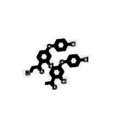 CC(=O)c1ccc(Oc2ccc(Cl)cc2)cc1Cl.O=C(CBr)c1ccc(Oc2ccc(Cl)cc2)cc1Cl